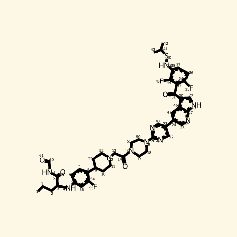 CCCC(Nc1ccc(C2CCN(CC(=O)N3CCN(c4ncc(-c5cnc6[nH]cc(C(=O)c7c(F)ccc(NSC(C)C)c7F)c6c5)cn4)CC3)CC2)c(F)c1)C(=O)NC=O